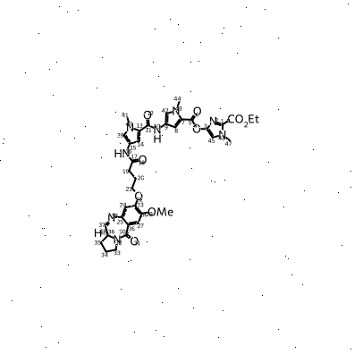 CCOC(=O)c1nc(OC(=O)c2cc(NC(=O)c3cc(NC(=O)CCCOc4cc5c(cc4OC)C(=O)N4CCC[C@H]4C=N5)cn3C)cn2C)cn1C